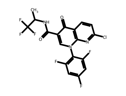 CC(NC(=O)c1cn(-c2c(F)cc(F)cc2F)c2nc(Cl)ccc2c1=O)C(F)(F)F